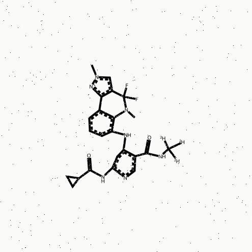 [2H]C([2H])([2H])NC(=O)c1cnc(NC(=O)C2CC2)cc1Nc1cccc2c1N(C)C(F)(F)c1cn(C)nc1-2